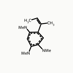 C/C=C(/C)c1cc(NC)c(NC)cc1NC